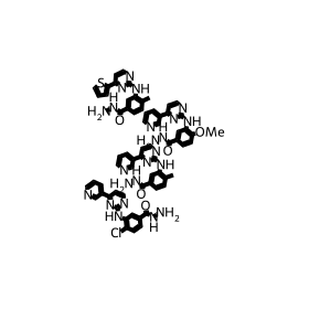 COc1ccc(C(=O)NN)cc1Nc1nccc(-c2cccnc2)n1.Cc1ccc(C(=O)NN)cc1Nc1nccc(-c2cccnc2)n1.Cc1ccc(C(=O)NN)cc1Nc1nccc(-c2cccs2)n1.NNC(=O)c1ccc(Cl)c(Nc2nccc(-c3cccnc3)n2)c1